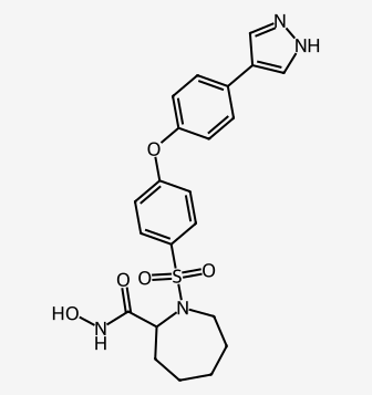 O=C(NO)C1CCCCCN1S(=O)(=O)c1ccc(Oc2ccc(-c3cn[nH]c3)cc2)cc1